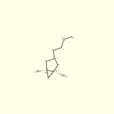 COCCN1C[C@H]2C[C@H]2C1